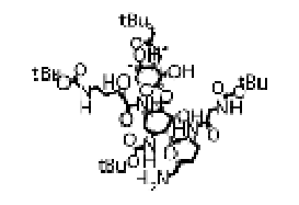 CN(C(=O)CC(C)(C)C)[C@@H]1[C@@H](O)[C@@H](O[C@H]2[C@H](NC(=O)[C@@H](O)CCNC(=O)OC(C)(C)C)C[C@H](NC(=O)OC(C)(C)C)C([C@H]3OC(CN)=CC[C@H]3NC(=O)CNC(=O)OC(C)(C)C)[C@@H]2O)OC[C@]1(C)O